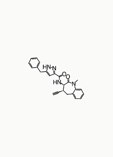 C#C[C@@H]1Cc2ccccc2N(C)C(=O)[C@@H]1NC(=O)c1cc(Cc2ccccc2)[nH]n1